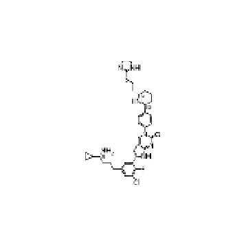 N[C@H](CCCc1cc(Cl)c(F)c(-c2cc3cn(-c4ccc([C@@H]5CCC[C@@H](CCSC6=NCCN6)N5)cc4)c(=O)nc3[nH]2)c1)C1CC1